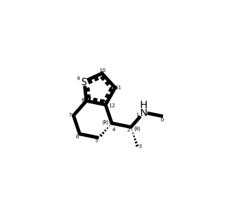 CN[C@H](C)[C@@H]1CCCc2sccc21